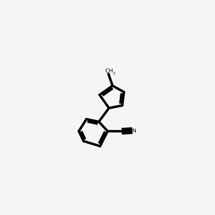 CC1=CC(c2ccccc2C#N)C=C1